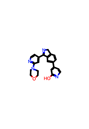 Oc1cc(-c2ccc3c(c2)C(c2ccnc(N4CCOCC4)c2)=NC3)ccn1